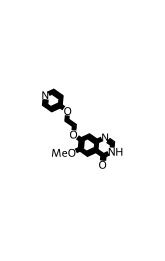 COc1cc2c(=O)[nH]cnc2cc1OCCOc1ccncc1